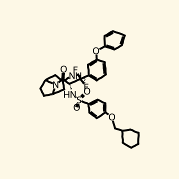 NC1CC2CCC(C1)N2C(=O)[C@@H](NS(=O)(=O)c1ccc(OCC2CCCCC2)cc1)C(F)(F)c1cccc(Oc2ccccc2)c1